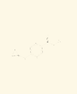 NCC(=O)c1ccc(CC2CC2)cc1